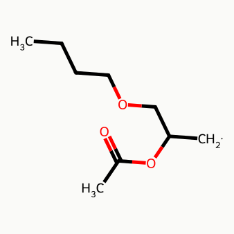 [CH2]C(COCCCC)OC(C)=O